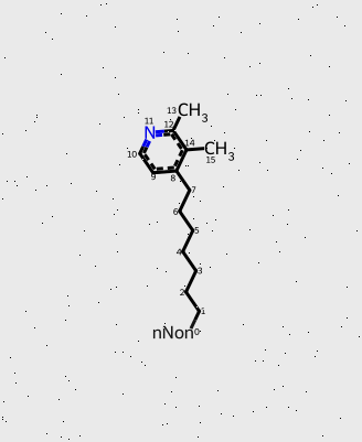 CCCCCCCCCCCCCCCCc1ccnc(C)c1C